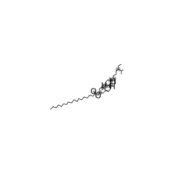 CCCCCCCCCCCCCCCCCC(=O)O[C@H]1CC[C@@]2(C)C(=CC[C@H]3[C@@H]4CC[C@H](CCC[C@@H](CC)C(C)C)[C@@]4(C)CC[C@@H]32)C1